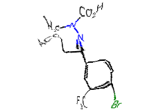 CC(=O)OC/C(=N\N(C)C(=O)O)c1ccc(Br)c(C(F)(F)F)c1